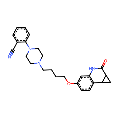 N#Cc1ccccc1N1CCN(CCCCOc2ccc3c(c2)NC(=O)C2CC32)CC1